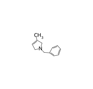 CC1=CCN(Cc2ccccc2)C1